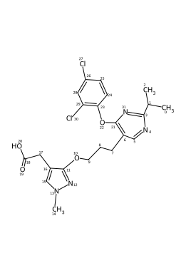 CC(C)c1ncc(CCCOc2nn(C)cc2CC(=O)O)c(Oc2ccc(Cl)cc2Cl)n1